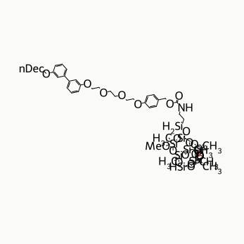 CCCCCCCCCCOc1cccc(-c2cccc(OCCOCCOCCOc3ccc(COC(=O)NCC[SiH2]O[Si]45O[Si](C)(OC)O[Si]6(C)O[SiH]7O[SiH](C)O[Si](C)(O[Si](C)(O7)O[Si](C)(O6)O4)O5)cc3)c2)c1